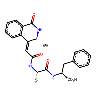 CC[C@H](C)[C@@H]1NC(=O)c2ccccc2/C1=C/C(=O)N[C@H](C(=O)N[C@@H](Cc1ccccc1)C(=O)O)C(C)C